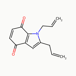 C=CCc1[c]c2c(n1CC=C)C(=O)C=CC2=O